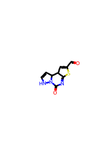 O=CC1=CC2C(=NC(=O)N3NC=CC23)S1